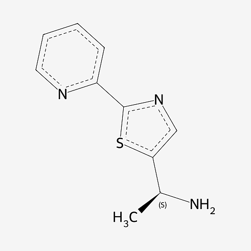 C[C@H](N)c1cnc(-c2ccccn2)s1